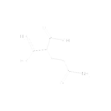 C=C(C)C(CCC(N)=O)C(=O)O